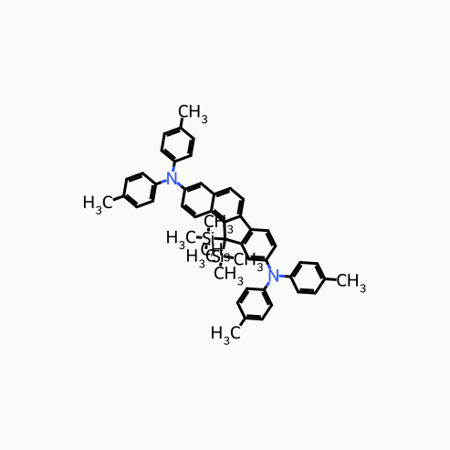 Cc1ccc(N(c2ccc(C)cc2)c2ccc3c(c2)C([Si](C)(C)C)([Si](C)(C)C)c2c-3ccc3cc(N(c4ccc(C)cc4)c4ccc(C)cc4)ccc23)cc1